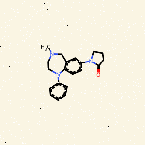 CN1CCN(c2ccccc2)c2ccc(N3CCCC3=O)cc2C1